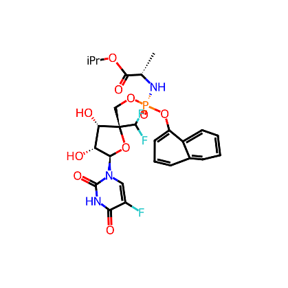 CC(C)OC(=O)[C@H](C)N[P@](=O)(OC[C@@]1(C(F)F)O[C@@H](n2cc(F)c(=O)[nH]c2=O)[C@H](O)[C@@H]1O)Oc1cccc2ccccc12